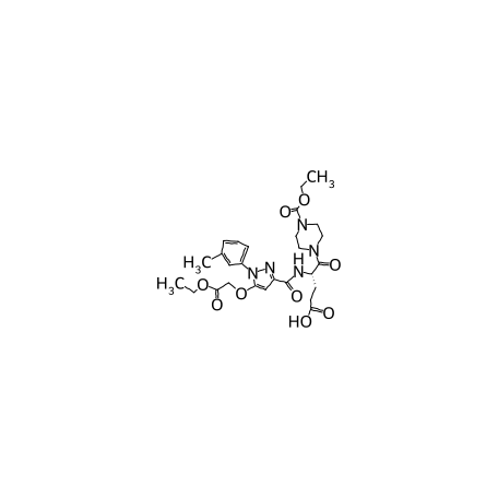 CCOC(=O)COc1cc(C(=O)N[C@@H](CCC(=O)O)C(=O)N2CCN(C(=O)OCC)CC2)nn1-c1cccc(C)c1